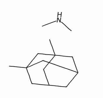 CC12CC3CC(C1)CC(C)(C3)C2.CNC